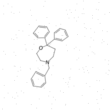 c1ccc(CN2CCOC(c3ccccc3)(c3ccccc3)CC2)cc1